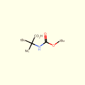 CC(C)(C)OC(=O)NC(C#N)(C(=O)O)C(C)(C)C